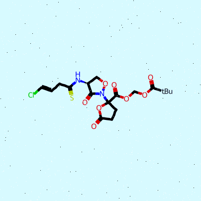 CC(C)(C)C(=O)OCOC(=O)C1(N2OC[C@H](NC(=S)CC=CCl)C2=O)CCC(=O)O1